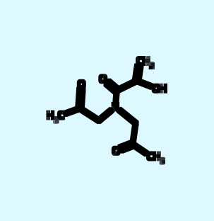 C=C(O)C(=O)N(CC(C)=O)CC(C)=O